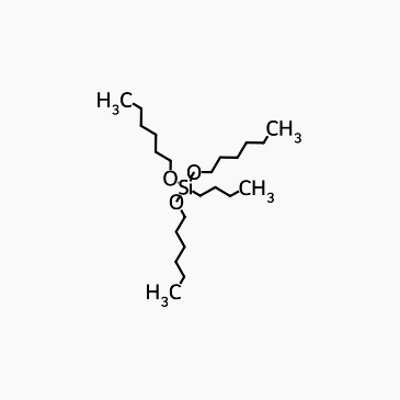 CCCCCCO[Si](CCCC)(OCCCCCC)OCCCCCC